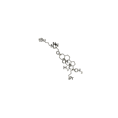 CC(C)CCC[C@@H](C)C1CCC2C3CCC4C[C@@H](OCc5cn(CCCC(C)(C)C)nn5)CC[C@]4(C)C3CC[C@@]21C